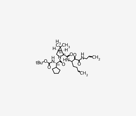 C=CCCC(NC(=O)[C@@H]1[C@H]2[C@@H](CN1C(=O)[C@@H](NC(=O)OC(C)(C)C)C1CCCC1)C2(C)C)C(=O)C(=O)NCC=C